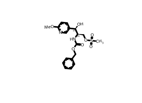 COc1ccc([C@@H](O)[C@@H](COS(C)(=O)=O)NC(=O)OCc2ccccc2)cn1